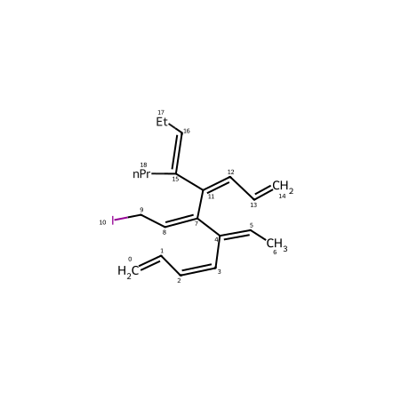 C=C\C=C/C(=C\C)C(=C/CI)/C(=C\C=C)C(=C/CC)/CCC